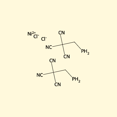 N#CC(C#N)(C#N)CP.N#CC(C#N)(C#N)CP.[Cl-].[Cl-].[Ni+2]